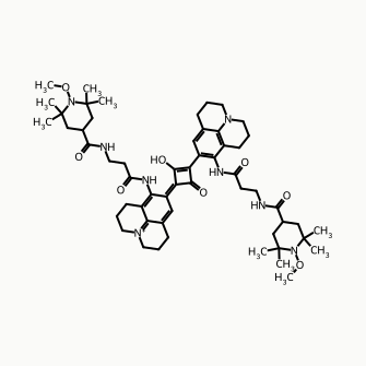 CON1C(C)(C)CC(C(=O)NCCC(=O)Nc2c(C3=C(O)/C(=c4/cc5c6c(c4NC(=O)CCNC(=O)C4CC(C)(C)N(OC)C(C)(C)C4)CCC[N+]=6CCC5)C3=O)cc3c4c2CCCN4CCC3)CC1(C)C